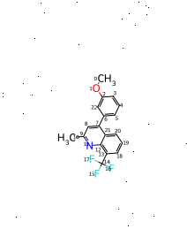 COc1cccc(-c2cc(C)nc3c(C(F)(F)F)cccc23)c1